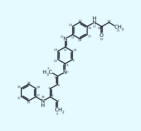 C=C/C(=C\C=C(/C)N=C1C=CC(=Nc2ccc(NC(=O)CC)cc2)C=C1)Nc1ccccc1